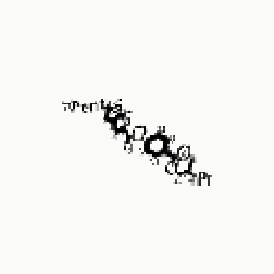 CCCCCc1cc2cc(C(=O)Oc3ccc(C4OCC(CCC)CO4)cc3)sc2s1